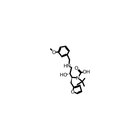 COc1cccc(CNC[C@@H](O)[C@H](Cc2ccco2)N(C(=O)O)C(C)(C)C)c1